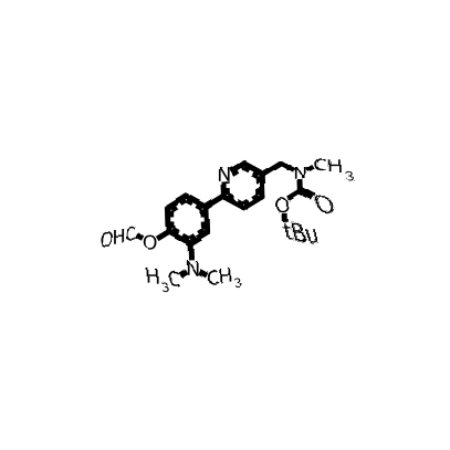 CN(Cc1ccc(-c2ccc(OC=O)c(N(C)C)c2)nc1)C(=O)OC(C)(C)C